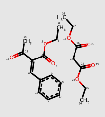 CCOC(=O)C(=Cc1ccccc1)C(C)=O.CCOC(=O)CC(=O)OCC